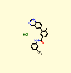 Cc1ccc(C(=O)Nc2cccc(C(F)(F)F)c2)cc1-c1ccc2ncncc2c1.Cl